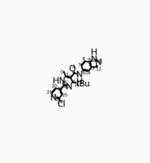 CC1=C(C(=O)Nc2ccc3[nH]ncc3c2)C(C(C)(C)C)N=C(c2ccnc(Cl)c2)N1